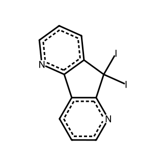 IC1(I)c2cccnc2-c2cccnc21